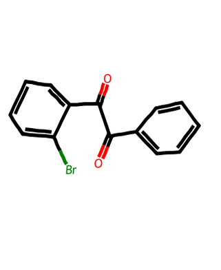 O=C(C(=O)c1ccccc1Br)c1ccccc1